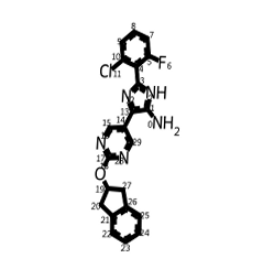 Nc1[nH]c(-c2c(F)cccc2Cl)nc1-c1cnc(OC2Cc3ccccc3C2)nc1